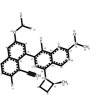 C#Cc1c(F)ccc2cc(OC(F)F)cc(-c3nc(N4CC[C@@H]4C)c4cnc([S+](C)[O-])nc4c3F)c12